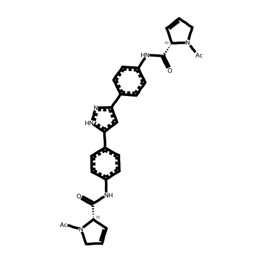 CC(=O)N1CC=C[C@H]1C(=O)Nc1ccc(-c2cc(-c3ccc(NC(=O)[C@@H]4C=CCN4C(C)=O)cc3)[nH]n2)cc1